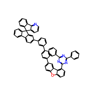 c1ccc(-c2nc(-c3ccccc3)nc(-c3cccc4oc5ccc(-c6ccc(-c7cccc(-c8ccc9c(c8)C8(c%10ccccc%10-9)c9ccccc9-c9ncccc98)c7)cc6)cc5c34)n2)cc1